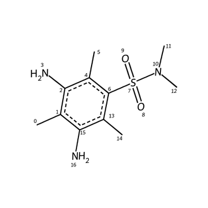 Cc1c(N)c(C)c(S(=O)(=O)N(C)C)c(C)c1N